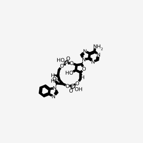 Nc1ncnc2c1ncn2[C@@H]1O[C@@H]2COP(=O)(O)OC3C(O)[C@@H](COP(=O)(O)OC1C2O)O[C@H]3n1cnc2ccccc21